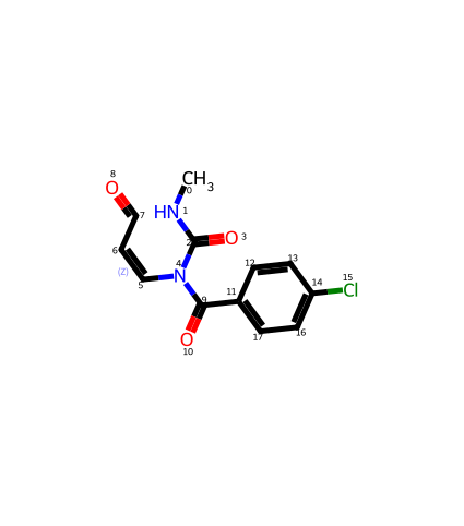 CNC(=O)N(/C=C\C=O)C(=O)c1ccc(Cl)cc1